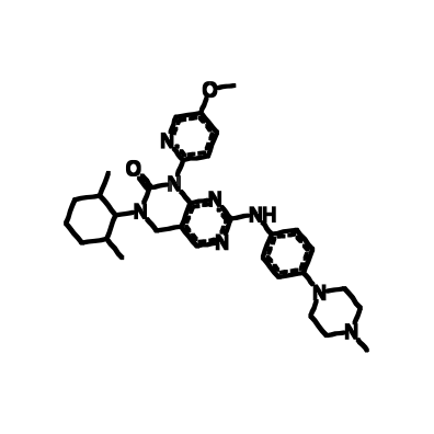 COc1ccc(N2C(=O)N(C3C(C)CCCC3C)Cc3cnc(Nc4ccc(N5CCN(C)CC5)cc4)nc32)nc1